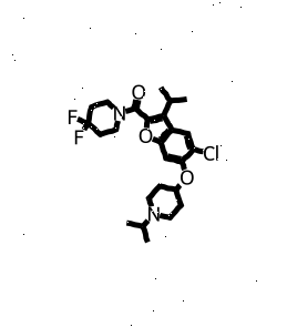 CC(C)c1c(C(=O)N2CCC(F)(F)CC2)oc2cc(OC3CCN(C(C)C)CC3)c(Cl)cc12